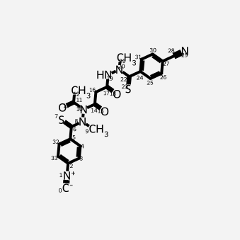 [C-]#[N+]c1ccc(C(=S)N(C)N(C(C)=O)C(=O)CC(=O)NN(C)C(=S)c2ccc(C#N)cc2)cc1